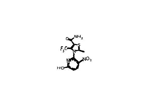 CC1SC(C(N)=O)=C(C(F)(F)F)N1c1nc(O)ccc1[N+](=O)[O-]